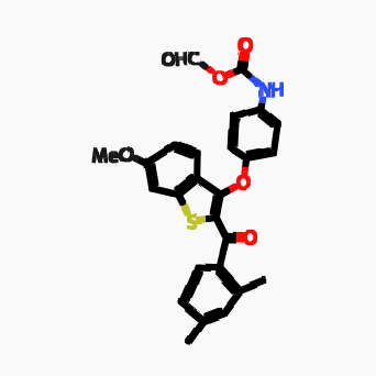 COc1ccc2c(Oc3ccc(NC(=O)OC=O)cc3)c(C(=O)c3ccc(C)cc3C)sc2c1